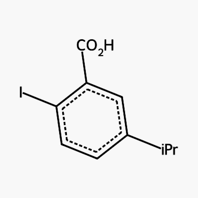 CC(C)c1ccc(I)c(C(=O)O)c1